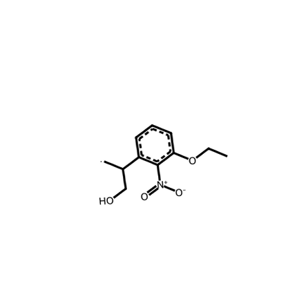 [CH2]C(CO)c1cccc(OCC)c1[N+](=O)[O-]